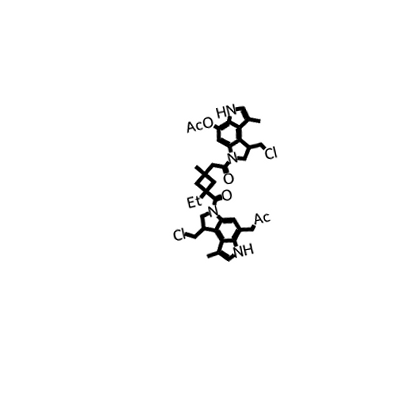 CCC1(C(=O)N2CC(CCl)c3c2cc(CC(C)=O)c2[nH]cc(C)c32)CC(C)(CC(=O)N2CC(CCl)c3c2cc(OC(C)=O)c2[nH]cc(C)c32)C1